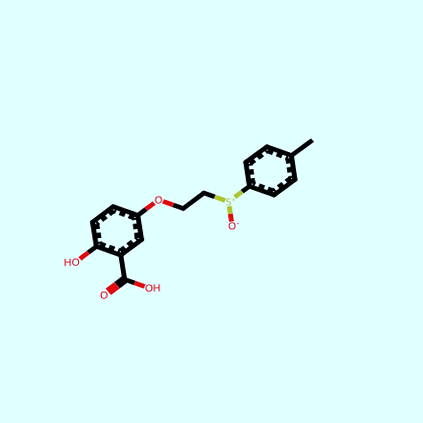 Cc1ccc([S+]([O-])CCOc2ccc(O)c(C(=O)O)c2)cc1